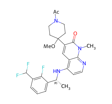 COC1(c2cc3c(N[C@H](C)c4cccc(C(F)F)c4F)ccnc3n(C)c2=O)CCN(C(C)=O)CC1